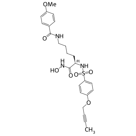 CC#CCOc1ccc(S(=O)(=O)N[C@H](CCCCNC(=O)c2ccc(OC)cc2)C(=O)NO)cc1